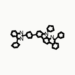 c1ccc(-c2nc(-c3ccc(-c4ccc5c(c4)c4ccc6c7ccccc7c(-c7ccccc7)nc6c4n5-c4ccccc4)cc3)nc3ccccc23)cc1